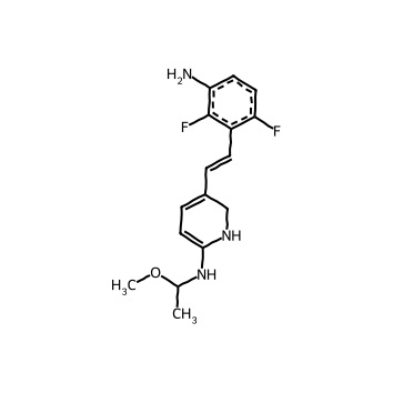 COC(C)NC1=CC=C(C=Cc2c(F)ccc(N)c2F)CN1